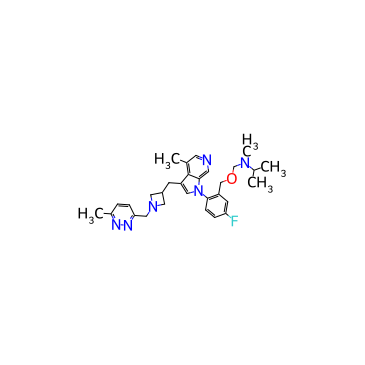 Cc1ccc(CN2CC(Cc3cn(-c4ccc(F)cc4COCN(C)C(C)C)c4cncc(C)c34)C2)nn1